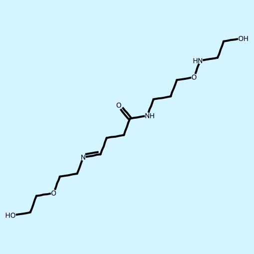 O=C(CC/C=N/CCOCCO)NCCCONCCO